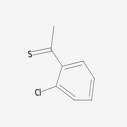 CC(=S)c1ccccc1Cl